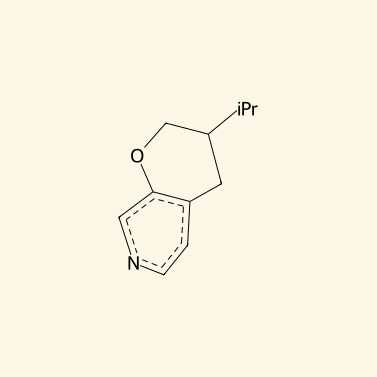 CC(C)C1COc2cnccc2C1